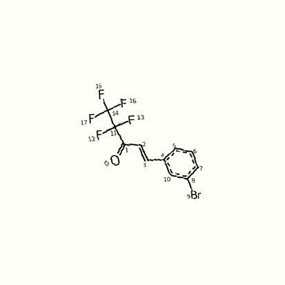 O=C(C=Cc1cccc(Br)c1)C(F)(F)C(F)(F)F